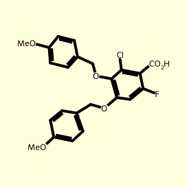 COc1ccc(COc2cc(F)c(C(=O)O)c(Cl)c2OCc2ccc(OC)cc2)cc1